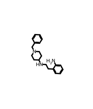 Nc1ccccc1CCNC1CCN(Cc2ccccc2)CC1